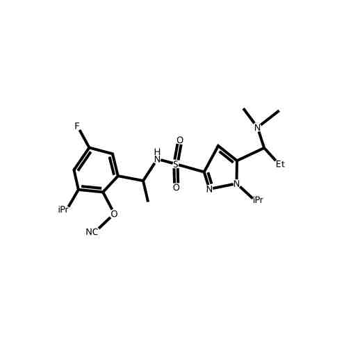 CCC(c1cc(S(=O)(=O)NC(C)c2cc(F)cc(C(C)C)c2OC#N)nn1C(C)C)N(C)C